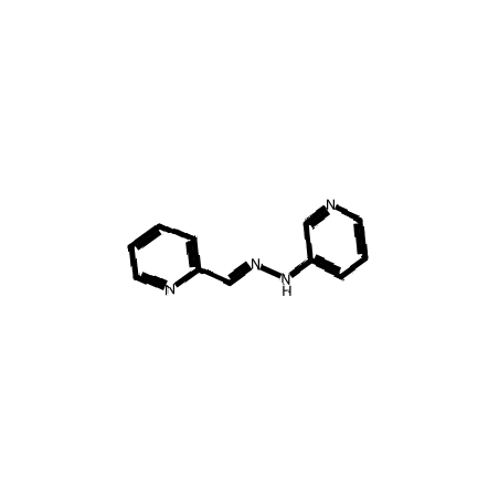 C(=NNc1cccnc1)c1ccccn1